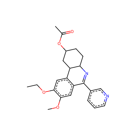 CCOc1cc2c(cc1OC)C(c1cccnc1)=NC1CCC(OC(C)=O)CC21